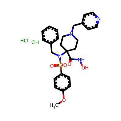 COc1ccc(S(=O)(=O)N(Cc2ccccc2)C2(C(=O)NO)CCN(Cc3ccncc3)CC2)cc1.Cl.Cl